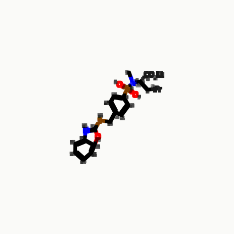 CCOC(=O)[C@H](CC(C)C)N(C)S(=O)(=O)c1ccc(CSc2nc3ccccc3o2)cc1